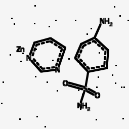 Nc1ccc(S(N)(=O)=O)cc1.[Zn].c1cncnc1